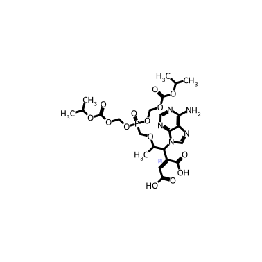 CC(C)OC(=O)OCOP(=O)(COC(C)C(/C(=C/C(=O)O)C(=O)O)n1cnc2c(N)ncnc21)OCOC(=O)OC(C)C